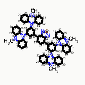 CN1c2ccccc2N(c2cc(-c3ccc(-c4cc(N5c6ccccc6N(C)c6ccccc65)cc(N5c6ccccc6N(C)c6ccccc65)c4)c4nsnc34)cc(N3c4ccccc4N(C)c4ccccc43)c2)c2ccccc21